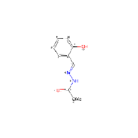 COC(=O)N/N=C/c1ccccc1O